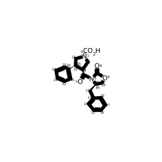 O=C(O)N1C[C@@H](C(=O)N2C(=O)OC[C@H]2Cc2ccccc2)[C@H](c2ccccc2)C1